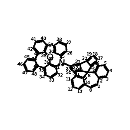 C1=Cc2ccccc2C2(c3ccccc31)c1ccccc1-c1cc(N(c3ccccc3)c3cccc4c3Oc3ccccc3-c3ccccc3-4)ccc12